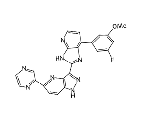 COc1cc(F)cc(-c2ccnc3[nH]c(-c4n[nH]c5ccc(-c6cnccn6)nc45)nc23)c1